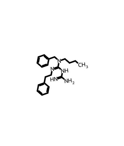 CCCCN(Cc1ccccc1)C(=NCCc1ccccc1)NC(=N)N